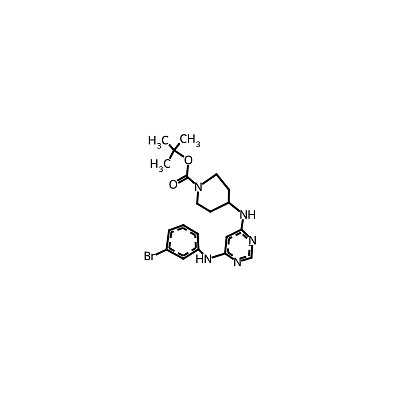 CC(C)(C)OC(=O)N1CCC(Nc2cc(Nc3cccc(Br)c3)ncn2)CC1